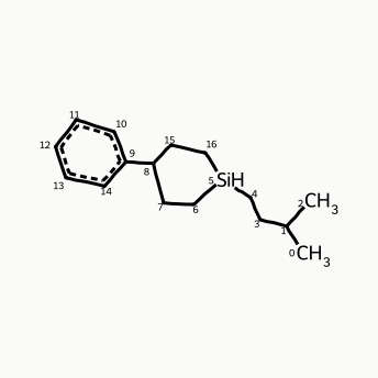 CC(C)CC[SiH]1CCC(c2ccccc2)CC1